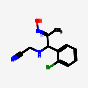 C/C(=N\O)C(NCC#N)c1ccccc1Br